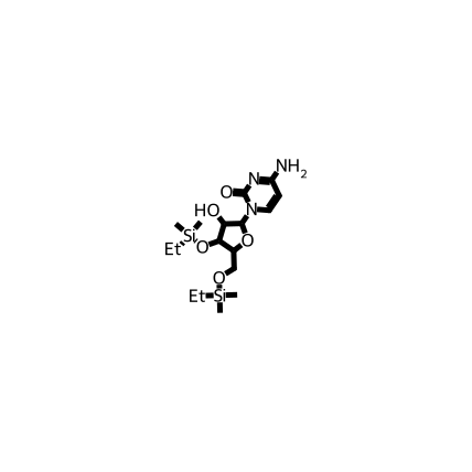 CC[Si](C)(C)OCC1OC(n2ccc(N)nc2=O)C(O)C1O[Si](C)(C)CC